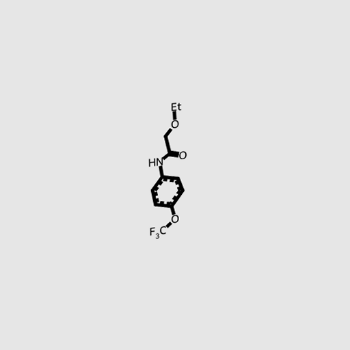 CCOCC(=O)Nc1ccc(OC(F)(F)F)cc1